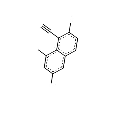 C#Cc1c(Cl)ccc2cc(O)cc(C)c12